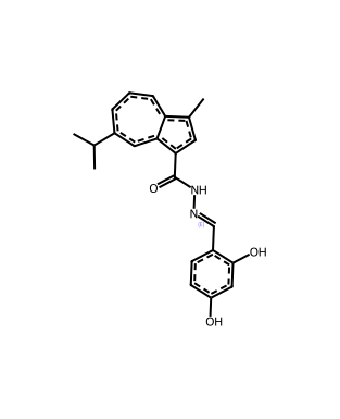 Cc1cc(C(=O)N/N=C/c2ccc(O)cc2O)c2cc(C(C)C)cccc1-2